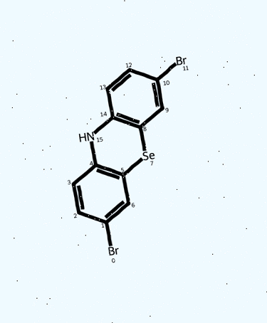 Brc1ccc2c(c1)[Se]c1cc(Br)ccc1N2